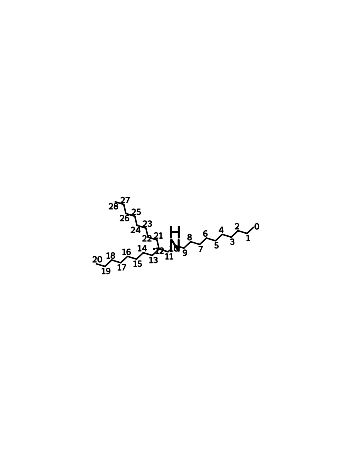 CCCCCCCCCCNC[C](CCCCCCCC)CCCCCCCC